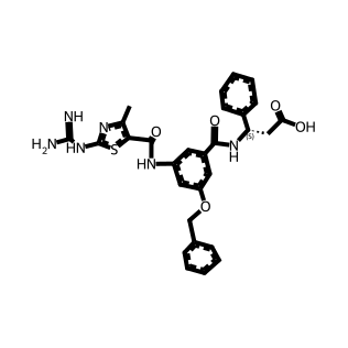 Cc1nc(NC(=N)N)sc1C(=O)Nc1cc(OCc2ccccc2)cc(C(=O)N[C@@H](CC(=O)O)c2ccccc2)c1